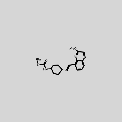 COc1cnc2cccc(/C=C/[C@H]3CC[C@H](NC(=O)OC(C)(C)C)CC3)c2n1